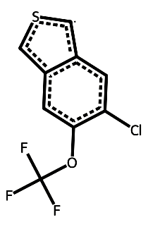 FC(F)(F)Oc1cc2cs[c]c2cc1Cl